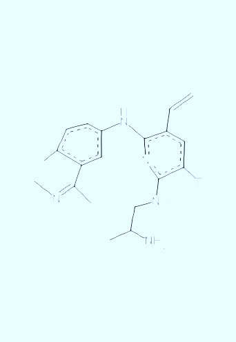 C=Cc1cc(F)c(NCC(C)N)nc1Nc1ccc(C)c(/C(C)=N\C)c1